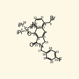 CC(C)[Si](Oc1c2c(cc3c(CBr)ccnc13)CN(Cc1ccc(F)cc1)C2=O)(C(C)C)C(C)C